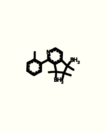 BC1(C)c2ccnc(-c3ccccc3C)c2C(B)(C)C1(C)C